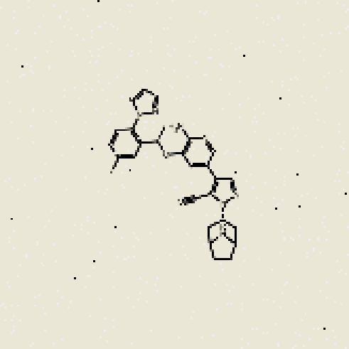 C[C@@H](Oc1cc(-c2cnn(C3CC4CCC(C3)N4)c2C#N)cnc1N)c1cc(F)ccc1-n1nccn1